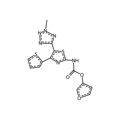 Cn1nnc(-c2sc(NC(=O)Oc3ccoc3)nc2-c2cccs2)n1